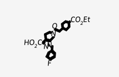 CCOC(=O)C1CCC(CC(=O)N2CCc3c(C(=O)O)nn(Cc4ccc(F)cc4)c3C2)CC1